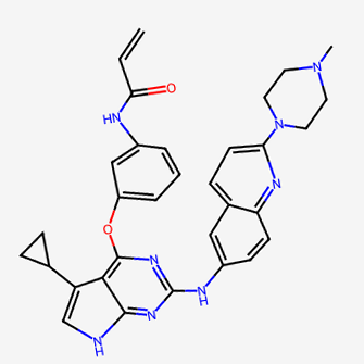 C=CC(=O)Nc1cccc(Oc2nc(Nc3ccc4nc(N5CCN(C)CC5)ccc4c3)nc3[nH]cc(C4CC4)c23)c1